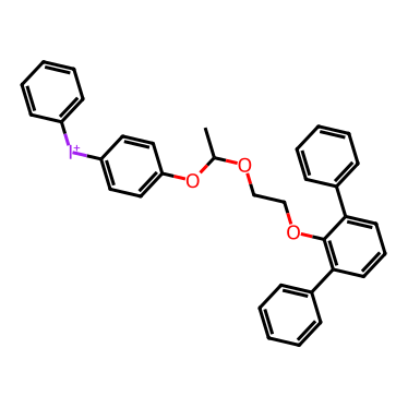 CC(OCCOc1c(-c2ccccc2)cccc1-c1ccccc1)Oc1ccc([I+]c2ccccc2)cc1